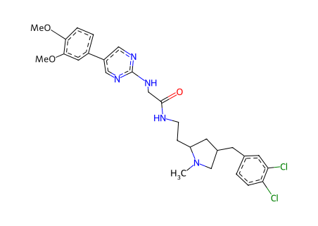 COc1ccc(-c2cnc(NCC(=O)NCCC3CC(Cc4ccc(Cl)c(Cl)c4)CN3C)nc2)cc1OC